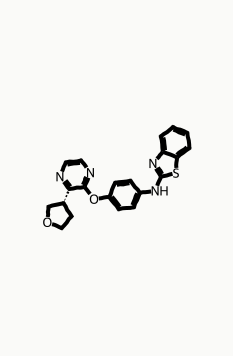 c1ccc2sc(Nc3ccc(Oc4nccnc4[C@@H]4CCOC4)cc3)nc2c1